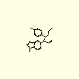 C=CN(c1ccc2[nH]cnc2c1)C(CCC)c1ccc(F)cc1